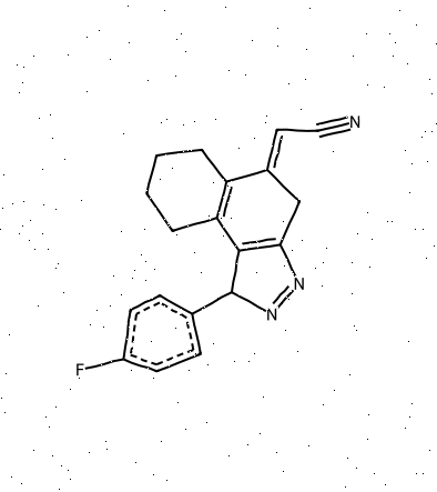 N#CC=C1CC2=C(C3=C1CCCC3)C(c1ccc(F)cc1)N=N2